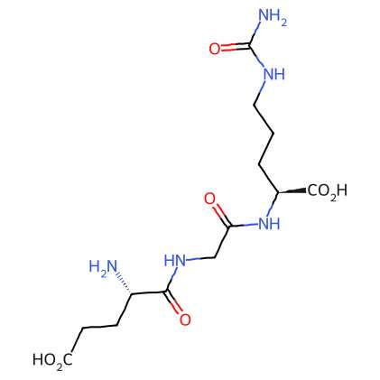 NC(=O)NCCC[C@H](NC(=O)CNC(=O)[C@@H](N)CCC(=O)O)C(=O)O